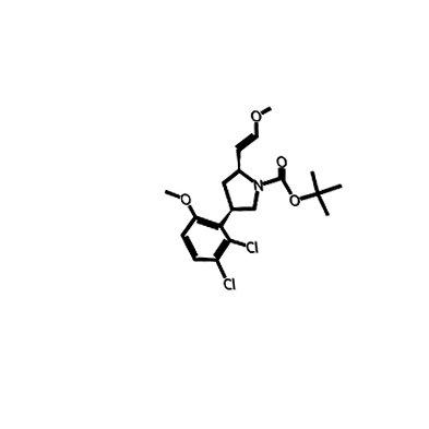 COC=C[C@@H]1C[C@H](c2c(OC)ccc(Cl)c2Cl)CN1C(=O)OC(C)(C)C